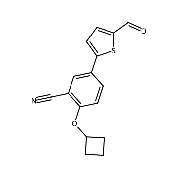 N#Cc1cc(-c2ccc(C=O)s2)ccc1OC1CCC1